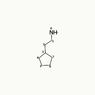 [NH]CCC1CCCC1